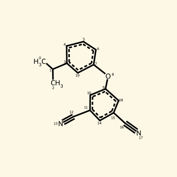 CC(C)c1cccc(Oc2cc(C#N)cc(C#N)c2)c1